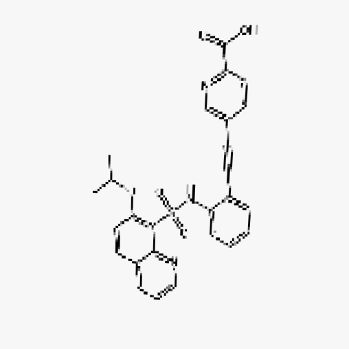 CC(C)Oc1ccc2cccnc2c1S(=O)(=O)Nc1ccccc1C#Cc1ccc(C(=O)O)nc1